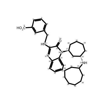 O=C(O)c1cccc(CNc2nc3ccccc3n([C@H]3CCCC[C@H](NC4CCCCCCC4)C3)c2=O)c1